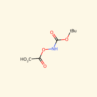 CC(C)(C)OC(=O)NOC(=O)C(=O)O